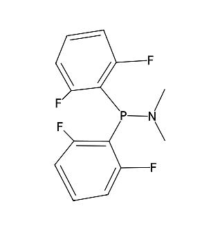 CN(C)P(c1c(F)cccc1F)c1c(F)cccc1F